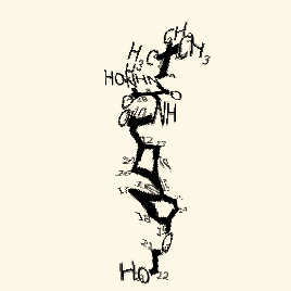 CC(C)(C)CNC(=O)C(NC(=O)c1ccc(-c2ccc(OCCO)cc2)cc1)C(=O)NO